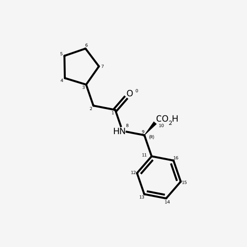 O=C(CC1CCCC1)N[C@@H](C(=O)O)c1ccccc1